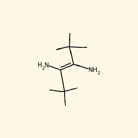 CC(C)(C)C(N)=C(N)C(C)(C)C